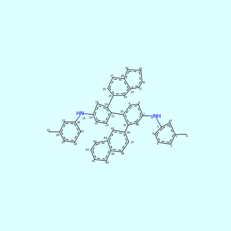 Cc1cccc(Nc2ccc(-c3ccc(Nc4cccc(C)c4)cc3-c3ccc4ccccc4c3)c(-c3ccc4ccccc4c3)c2)c1